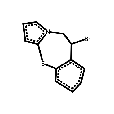 BrC1Cn2cccc2Sc2ccccc21